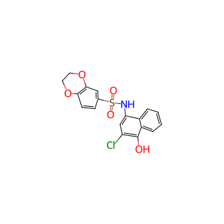 O=S(=O)(Nc1cc(Cl)c(O)c2ccccc12)c1ccc2c(c1)OCCO2